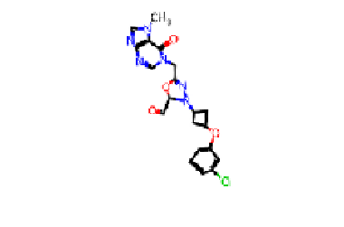 Cn1cnc2ncn(CC3=NN(C4CC(Oc5cccc(Cl)c5)C4)C(C=O)O3)c(=O)c21